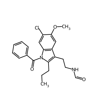 CCCc1c(CCNC=O)c2cc(OC)c(Cl)cc2n1C(=O)c1ccccc1